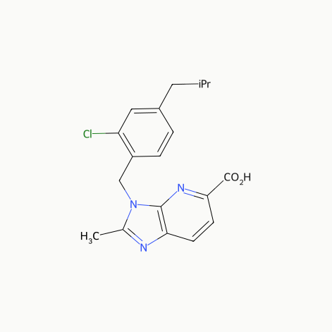 Cc1nc2ccc(C(=O)O)nc2n1Cc1ccc(CC(C)C)cc1Cl